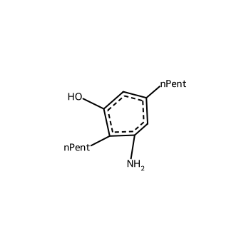 CCCCCc1cc(N)c(CCCCC)c(O)c1